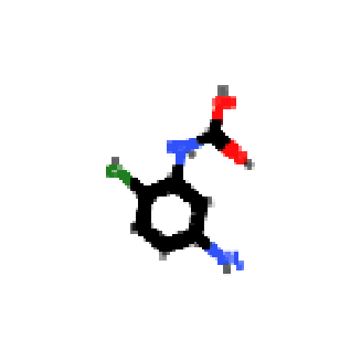 Nc1ccc(Cl)c(NC(=O)O)c1